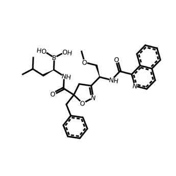 COC[C@@H](NC(=O)c1nccc2ccccc12)C1=NOC(Cc2ccccc2)(C(=O)N[C@@H](CC(C)C)B(O)O)C1